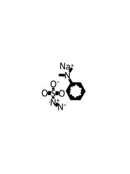 CN(C)c1ccccc1.[N-]=[N+]S(=O)(=O)[O-].[Na+]